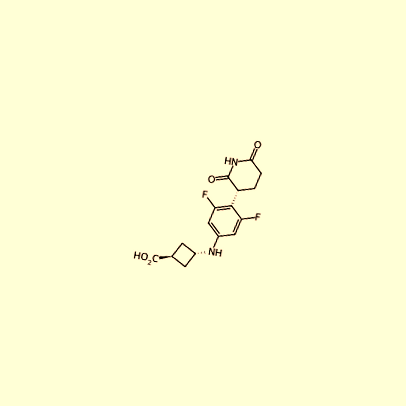 O=C1CC[C@H](c2c(F)cc(N[C@H]3C[C@H](C(=O)O)C3)cc2F)C(=O)N1